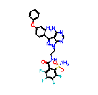 Nc1ncnc2c1c(-c1ccc(Oc3ccccc3)cc1)nn2CCNC(=O)c1c(F)c(F)c(F)c(F)c1S(N)(=O)=O